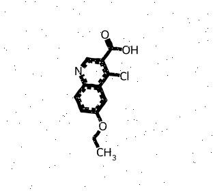 CCOc1ccc2ncc(C(=O)O)c(Cl)c2c1